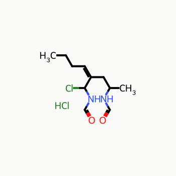 CCCC=C(CC(C)NC=O)C(Cl)NC=O.Cl